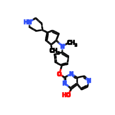 CC1C=C(C2CCNCC2)C=CC1N(C)c1ccc(Oc2nc(O)c3ccncc3n2)cc1